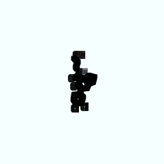 O=C(NCCCO)NC(=O)C(CC1CCCC1)c1ccc(Cl)c(Cl)c1